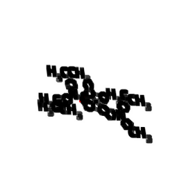 Cc1ccc(N(c2ccc(C(C)C)cc2)c2ccc3cc4c(cc3c2)C2(c3ccccc3-c3c2ccc2ccccc32)c2c-4ccc3cc(N(c4ccc(C(C)C)cc4)c4ccc([Si](C)(C)C)cc4)ccc23)cc1